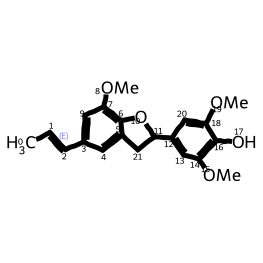 C/C=C/c1cc2c(c(OC)c1)OC(c1cc(OC)c(O)c(OC)c1)C2